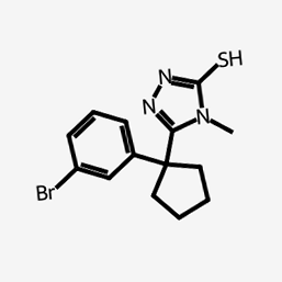 Cn1c(S)nnc1C1(c2cccc(Br)c2)CCCC1